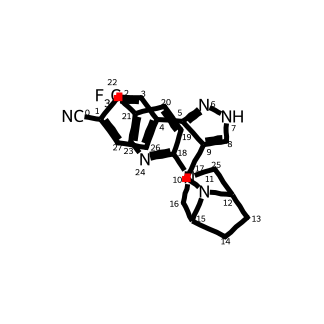 N#Cc1ccc(-c2n[nH]cc2CN2C3CCC2CN(c2ccc(C(F)(F)F)cn2)C3)cc1